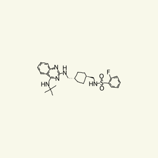 CC(C)(C)Nc1nc(NC[C@H]2CC[C@H](CNS(=O)(=O)c3ccccc3F)CC2)nc2ccccc12